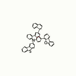 c1cc(-c2ccccc2N(c2ccc(-c3cccc4c3oc3ccccc34)cc2)c2ccc3sc4ccccc4c3c2)cc(-c2cccc3ccccc23)c1